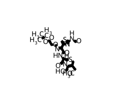 CCC1=C(C(=O)O)N2C(=O)C(NC(=O)C(=NOCC(=O)OC(C)(C)C)c3csc(NC=O)n3)[C@@H]2SC1